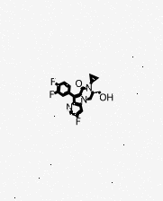 O=C1c2c(-c3ccc(F)c(F)c3)c3ncc(F)cc3n2C[C@H](CO)N1C1CC1